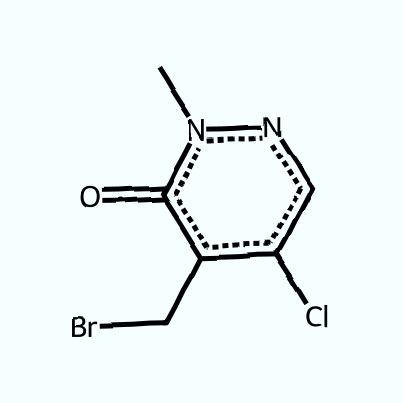 Cn1ncc(Cl)c(CBr)c1=O